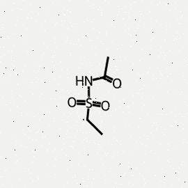 C[CH]S(=O)(=O)NC(C)=O